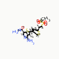 CS(=O)(=O)CCc1cc(-c2cc3c(N)ncc(C(N)=O)c3s2)cs1